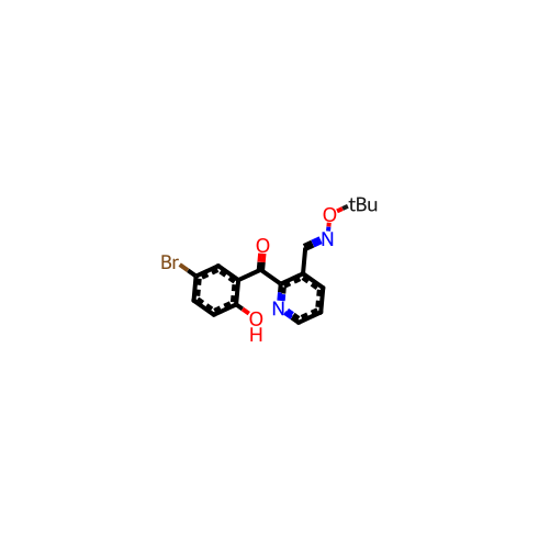 CC(C)(C)ON=Cc1cccnc1C(=O)c1cc(Br)ccc1O